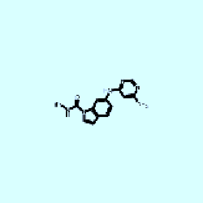 CC(C)NC(=O)n1ccc2ccc(Nc3cc(N)ncn3)cc21